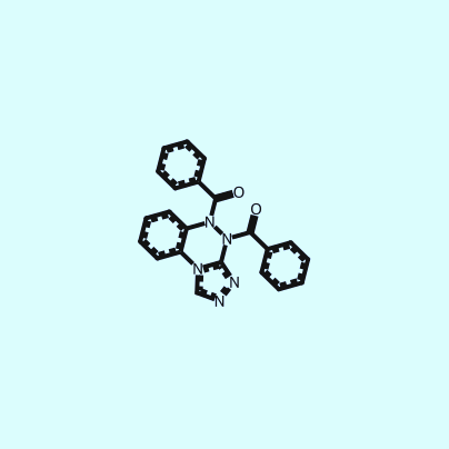 O=C(c1ccccc1)N1c2ccccc2-n2cnnc2N1C(=O)c1ccccc1